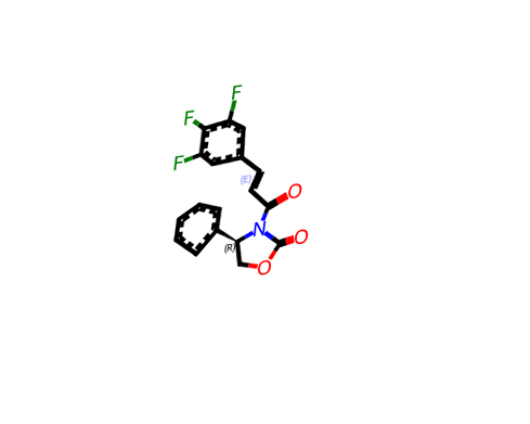 O=C(/C=C/c1cc(F)c(F)c(F)c1)N1C(=O)OC[C@H]1c1ccccc1